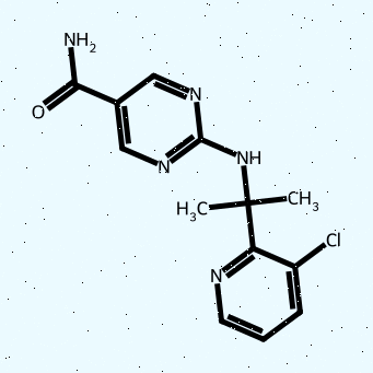 CC(C)(Nc1ncc(C(N)=O)cn1)c1ncccc1Cl